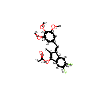 COc1cc(C=C2C(C)=C(OC(C)=O)c3cc(F)c(F)cc32)cc(OC)c1OC